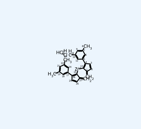 C=C1C=CC(c2cc(C)cc(C)c2)=[C]1[Zr][C]1=C(c2cc(C)cc(C)c2)C=CC1=C.Cl.Cl